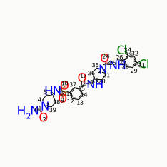 NC(=O)N1CCC(NS(=O)(=O)c2cccc(C(=O)NC3CCN(C(=O)NCc4ccc(Cl)cc4Cl)CC3)c2)CC1